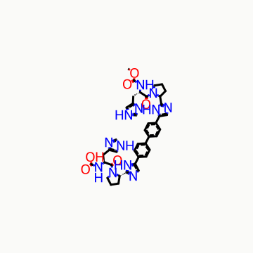 COC(=O)N[C@@H](Cc1c[nH]cn1)C(=O)N1CCCC1c1ncc(-c2ccc(-c3ccc(-c4cnc([C@@H]5CCCN5C(=O)[C@H](Cc5c[nH]cn5)NC(=O)O)[nH]4)cc3)cc2)[nH]1